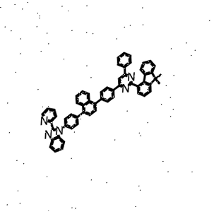 CC1(C)c2ccccc2-c2c(-c3nc(-c4ccccc4)cc(-c4ccc(-c5ccc(-c6ccc(-n7c(-c8ccccn8)nc8ccccc87)cc6)c6ccccc56)cc4)n3)cccc21